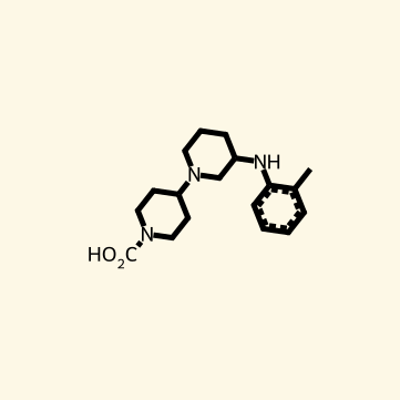 Cc1ccccc1NC1CCCN(C2CCN(C(=O)O)CC2)C1